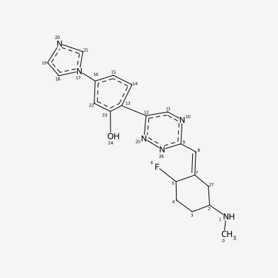 CNC1CCC(F)/C(=C\c2ncc(-c3ccc(-n4ccnc4)cc3O)nn2)C1